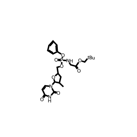 CC1CC(COP(=O)(NCC(=O)OCC(C)(C)C)Oc2ccccc2)OC1n1ccc(=O)[nH]c1=O